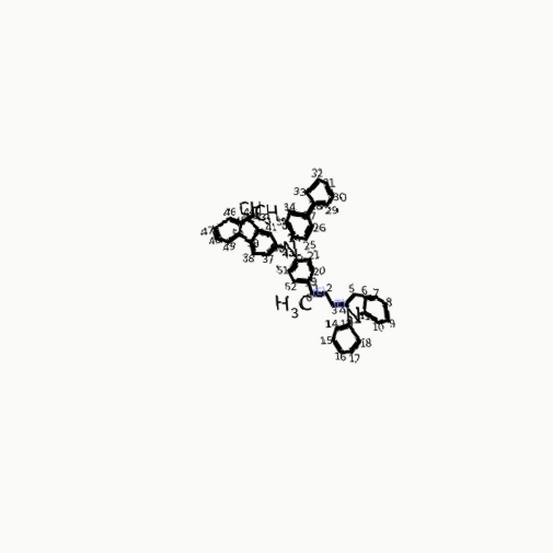 C/C(=C\C=C1/Cc2ccccc2N1c1ccccc1)c1ccc(N(c2ccc(-c3ccccc3)cc2)c2ccc3c(c2)C(C)(C)c2ccccc2-3)cc1